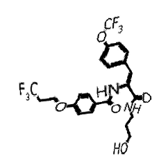 O=C(NCCCO)C(=Cc1ccc(OC(F)(F)F)cc1)NC(=O)c1ccc(OCCC(F)(F)F)cc1